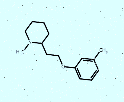 Cc1cccc(OCCC2CCCCN2C)c1